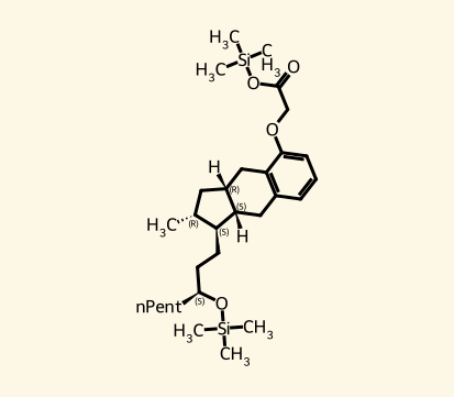 CCCCC[C@@H](CC[C@@H]1[C@H]2Cc3cccc(OCC(=O)O[Si](C)(C)C)c3C[C@H]2C[C@H]1C)O[Si](C)(C)C